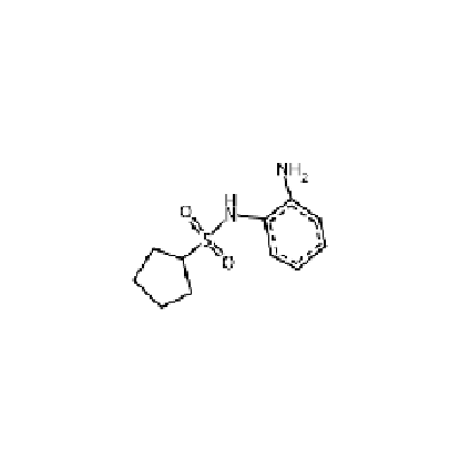 Nc1ccccc1NS(=O)(=O)C1CCCC1